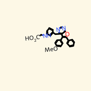 COc1ccc(-c2c(-c3ccccc3)oc3ncnc(Cc4cccc(NCC(=O)O)c4)c23)cc1